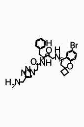 NCc1cn(CC(=O)N[C@@H](Cc2ccccc2)[C@H](O)CN[C@H]2CC3(CCC3)Oc3ccc(Br)cc32)nn1